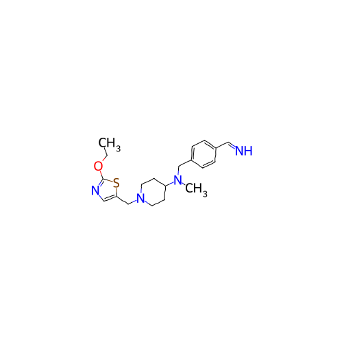 CCOc1ncc(CN2CCC(N(C)Cc3ccc(C=N)cc3)CC2)s1